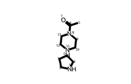 C1CCNC1.CC(=O)N1CCNCC1